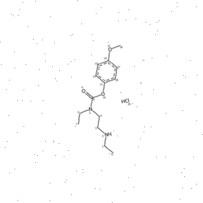 CCNCCN(CC)C(=O)Oc1ccc(OC)cc1.Cl